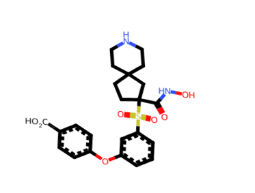 O=C(O)c1ccc(Oc2cccc(S(=O)(=O)C3(C(=O)NO)CCC4(CCNCC4)C3)c2)cc1